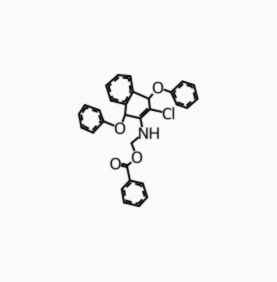 O=C(OCNC1=C(Cl)C(Oc2ccccc2)c2ccccc2C1Oc1ccccc1)c1ccccc1